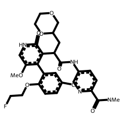 CNC(=O)c1ccc(NC(=O)C(CC2COCCO2)c2c(-c3cc(Cl)ccc3OCCF)c(OC)c[nH]c2=O)cn1